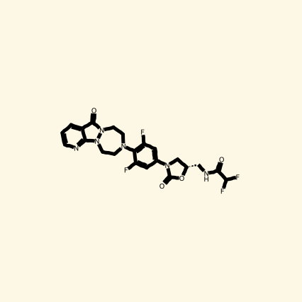 O=C(NC[C@H]1CN(c2cc(F)c(N3CCn4c(=O)c5cccnc5n4CC3)c(F)c2)C(=O)O1)C(F)F